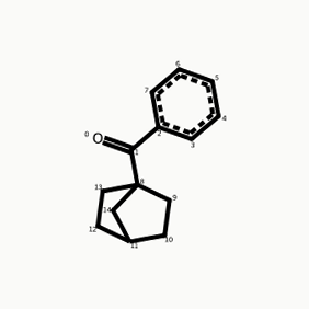 O=C(c1ccccc1)C12CCC(CC1)C2